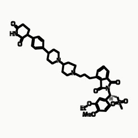 CCOc1cc([C@@H](CS(C)(=O)=O)N2C(=O)c3cccc(CCCN4CCC(N5CCC(c6ccc(C7CCC(=O)NC7=O)cc6)CC5)CC4)c3C2=O)ccc1OC